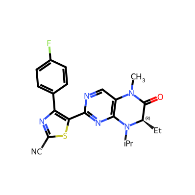 CC[C@@H]1C(=O)N(C)c2cnc(-c3sc(C#N)nc3-c3ccc(F)cc3)nc2N1C(C)C